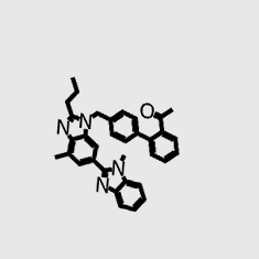 CCCc1nc2c(C)cc(-c3nc4ccccc4n3C)cc2n1Cc1ccc(-c2ccccc2C(C)=O)cc1